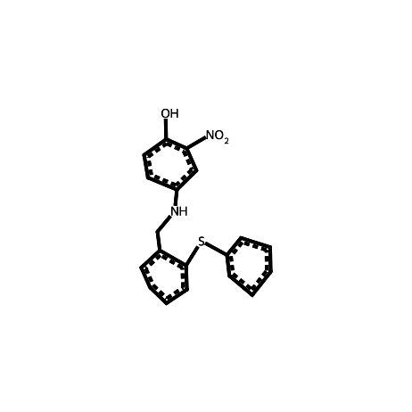 O=[N+]([O-])c1cc(NCc2ccccc2Sc2ccccc2)ccc1O